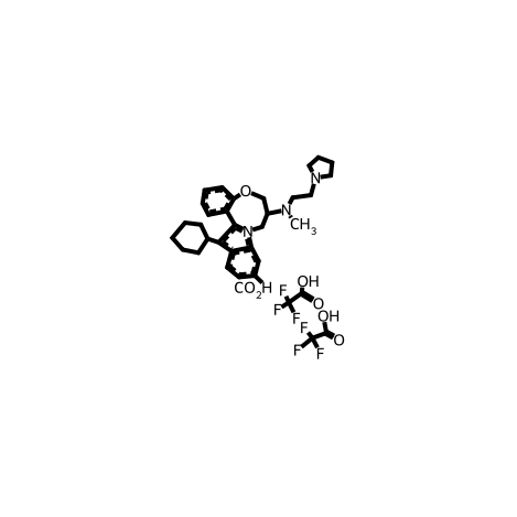 CN(CCN1CCCC1)C1COc2ccccc2-c2c(C3CCCCC3)c3ccc(C(=O)O)cc3n2C1.O=C(O)C(F)(F)F.O=C(O)C(F)(F)F